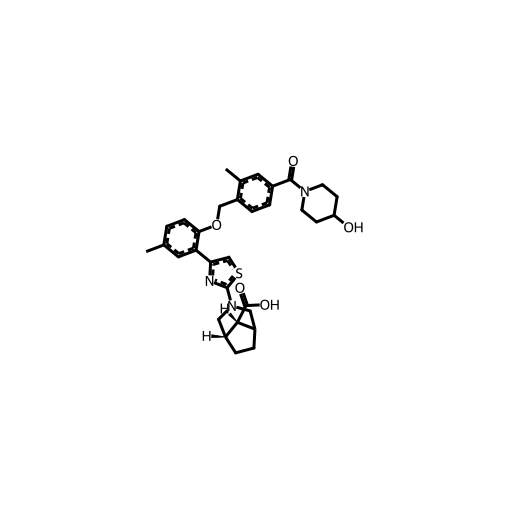 Cc1ccc(OCc2ccc(C(=O)N3CCC(O)CC3)cc2C)c(-c2csc(N3CC4CC[C@H](C3)[C@@H]4C(=O)O)n2)c1